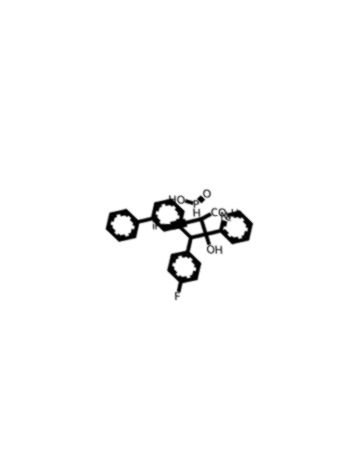 CC(C)C#CC(C(=O)O)([PH](=O)O)C(O)(c1ccccn1)C(c1ccc(F)cc1)c1cccc(-c2ccccc2)c1